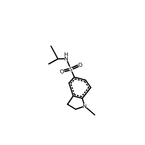 CC(C)NS(=O)(=O)c1ccc2c(c1)CCN2C